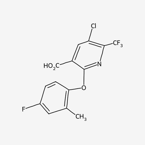 Cc1cc(F)ccc1Oc1nc(C(F)(F)F)c(Cl)cc1C(=O)O